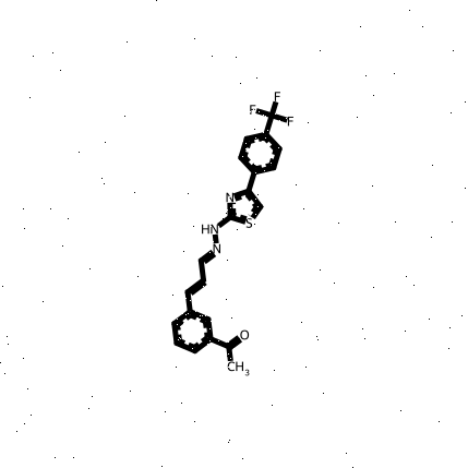 CC(=O)c1cccc(C=C/C=N/Nc2nc(-c3ccc(C(F)(F)F)cc3)cs2)c1